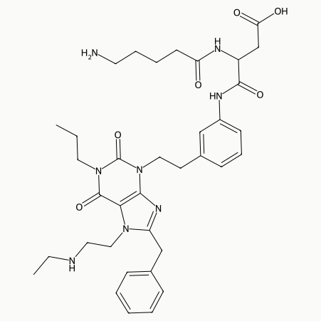 CCCn1c(=O)c2c(nc(Cc3ccccc3)n2CCNCC)n(CCc2cccc(NC(=O)C(CC(=O)O)NC(=O)CCCCN)c2)c1=O